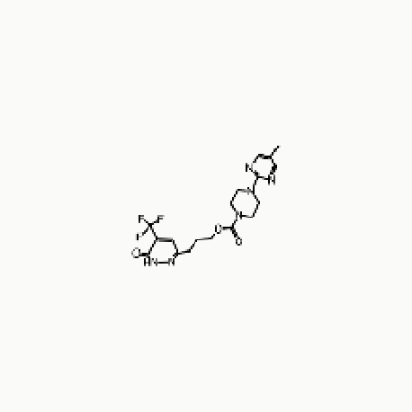 Cc1cnc(N2CCN(C(=O)OCCCc3cc(C(F)(F)F)c(=O)[nH]n3)CC2)nc1